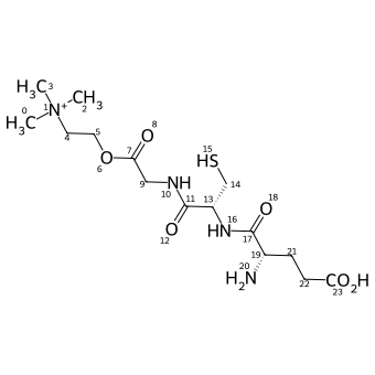 C[N+](C)(C)CCOC(=O)CNC(=O)[C@H](CS)NC(=O)[C@@H](N)CCC(=O)O